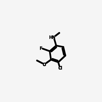 CNc1ccc(Cl)c(OC)c1F